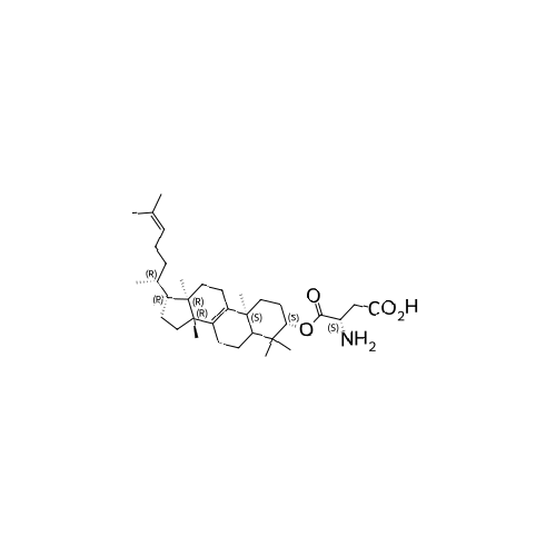 CC(C)=CCC[C@@H](C)[C@H]1CC[C@@]2(C)C3=C(CC[C@]12C)[C@@]1(C)CC[C@H](OC(=O)[C@@H](N)CC(=O)O)C(C)(C)C1CC3